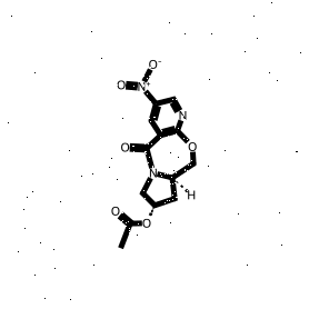 CC(=O)O[C@H]1C[C@@H]2COc3ncc([N+](=O)[O-])cc3C(=O)N2C1